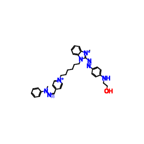 CN(/N=C\c1cc[n+](CCCCCCn2c(/N=N/c3ccc(NCCO)cc3)[n+](C)c3ccccc32)cc1)c1ccccc1